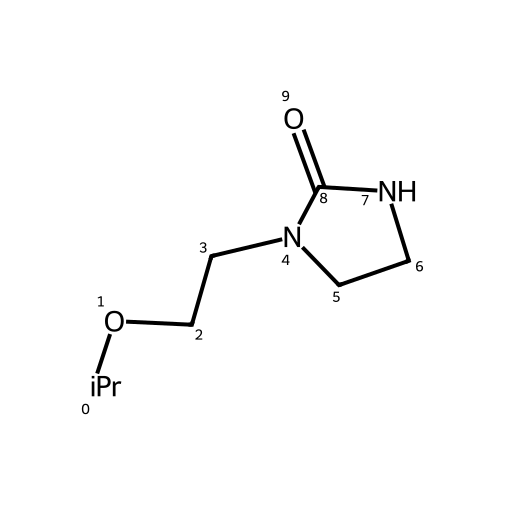 CC(C)OCCN1CCNC1=O